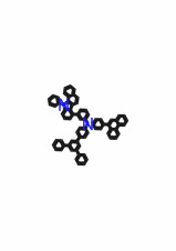 c1ccc(-c2cc(-c3ccccc3)cc(-c3ccc(N(c4ccc(-c5cc6ccccc6c6ccccc56)cc4)c4cccc(-c5cccc6c5c5ccc7ccccc7c5n6-c5ccccc5)c4)cc3)c2)cc1